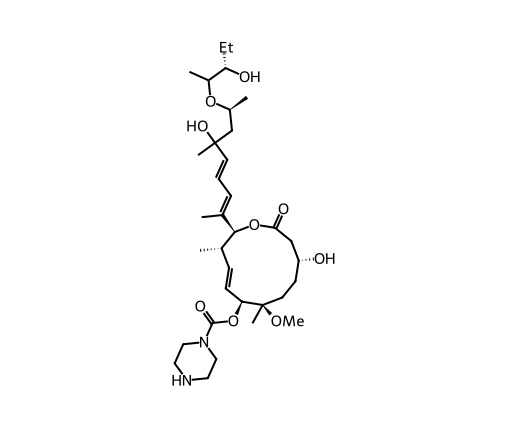 CC[C@H](O)C(C)O[C@@H](C)CC(C)(O)/C=C/C=C(\C)[C@H]1OC(=O)C[C@H](O)CC[C@@](C)(OC)[C@@H](OC(=O)N2CCNCC2)/C=C/[C@@H]1C